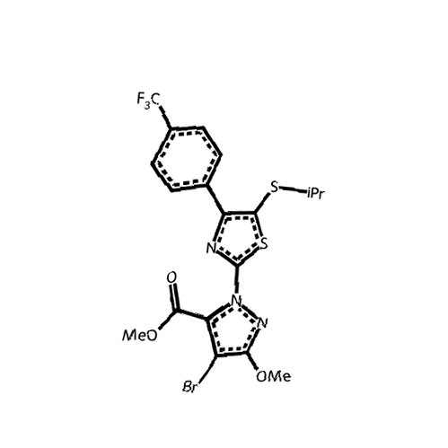 COC(=O)c1c(Br)c(OC)nn1-c1nc(-c2ccc(C(F)(F)F)cc2)c(SC(C)C)s1